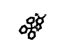 Fc1cc2cnn(C(c3ccccc3)(c3ccccc3)c3ccccc3)c2cc1Br